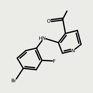 CC(=O)c1ccncc1Nc1ccc(Br)cc1F